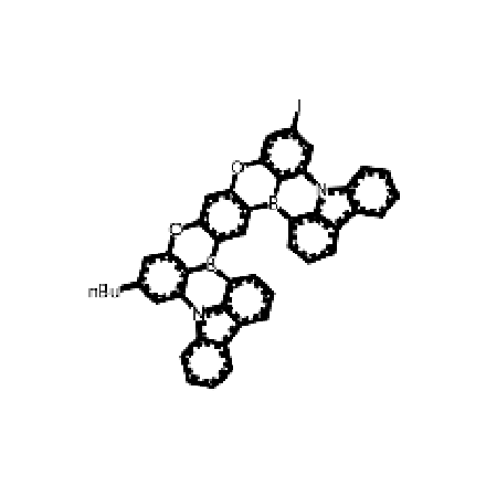 CCCCc1cc2c3c(c1)-n1c4ccccc4c4cccc(c41)B3c1cc3c(cc1O2)Oc1cc(I)cc2c1B3c1cccc3c4ccccc4n-2c13